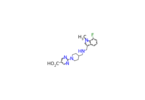 Cn1cc(CNCC2CCN(c3ncc(C(=O)O)cn3)CC2)c2cccc(F)c21